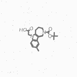 Cc1ccc2c(c1)c1c(n2CC(=O)O)CCCN(C(=O)OC(C)(C)C)C1